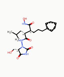 CC(C)C[C@@H](C(=O)NN1C(=O)NC(=O)[C@@H]1CO)[C@H](CCCc1ccccc1)C(=O)NO